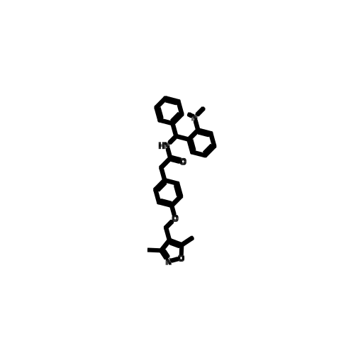 Cc1noc(C)c1COc1ccc(CC(=O)NC(c2ccccc2)c2ccccc2N(C)C)cc1